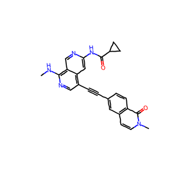 CNc1ncc(C#Cc2ccc3c(=O)n(C)ccc3c2)c2cc(NC(=O)C3CC3)ncc12